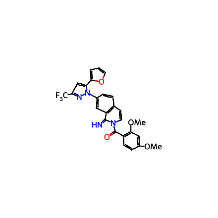 COc1ccc(C(=O)n2ccc3ccc(-n4nc(C(F)(F)F)cc4-c4ccco4)cc3c2=N)c(OC)c1